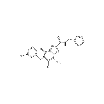 Cc1c(=O)n(Cc2cccc(Cl)c2)c(=O)n2cc(C(=O)NCc3cccnc3)sc12